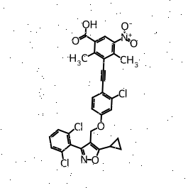 Cc1c(C(=O)O)cc([N+](=O)[O-])c(C)c1C#Cc1ccc(OCc2c(-c3c(Cl)cccc3Cl)noc2C2CC2)cc1Cl